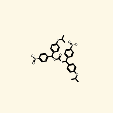 CC(C)Oc1ccc(C(OC(=O)OC(c2ccc(OC(C)C)cc2)c2ccc([N+](=O)[O-])cc2)c2ccc([N+](=O)[O-])cc2)cc1